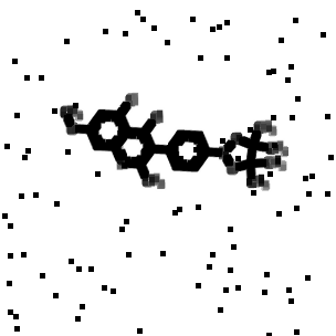 COc1cc(Cl)c2c(Cl)c(-c3ccc(B4OC(C)(C)C(C)(C)O4)cc3)c(C)nc2c1